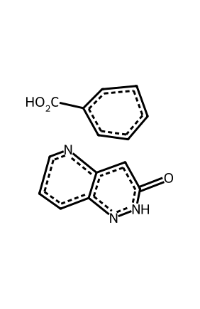 O=C(O)c1ccccc1.O=c1cc2ncccc2n[nH]1